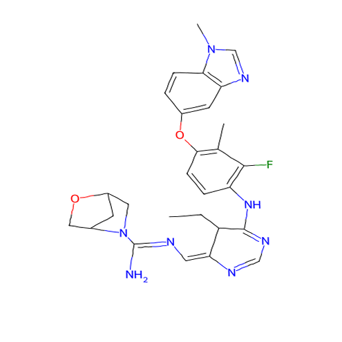 CCC1C(Nc2ccc(Oc3ccc4c(c3)ncn4C)c(C)c2F)=NC=N/C1=C/N=C(\N)N1CC2CC1CO2